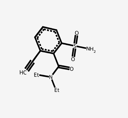 C#Cc1cccc(S(N)(=O)=O)c1C(=O)N(CC)CC